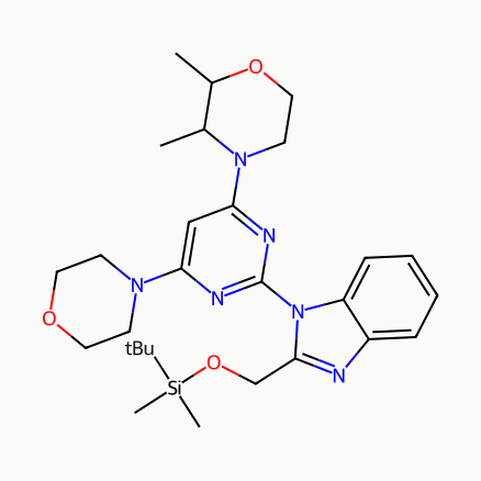 CC1OCCN(c2cc(N3CCOCC3)nc(-n3c(CO[Si](C)(C)C(C)(C)C)nc4ccccc43)n2)C1C